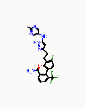 Cc1ncc(Nc2cc(CCc3cc(-c4c(C(N)=O)cccc4C(F)(F)F)ccc3F)n[nH]2)cn1